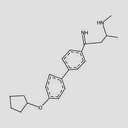 CNC(C)CC(=N)c1[c]cc(-c2ccc(OC3CCCC3)cc2)cc1